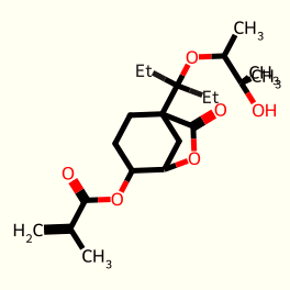 C=C(C)C(=O)OC1CCC2(C(CC)(CC)OC(C)C(C)(C)O)CC1OC2=O